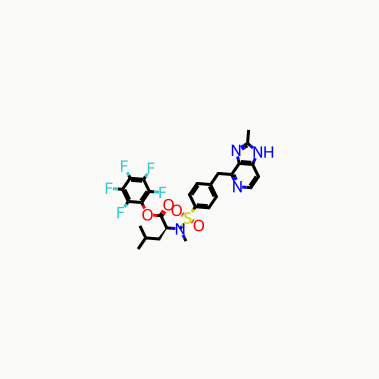 Cc1nc2c(Cc3ccc(S(=O)(=O)N(C)[C@@H](CC(C)C)C(=O)Oc4c(F)c(F)c(F)c(F)c4F)cc3)nccc2[nH]1